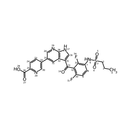 CCCS(=O)(=O)Nc1ccc(F)c(C(=O)c2c[nH]c3ncc(-c4ccc(C(=O)O)nc4)cc23)c1F